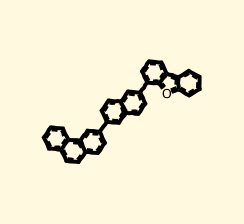 c1ccc2c(c1)ccc1ccc(-c3ccc4cc(-c5cccc6c5oc5ccccc56)ccc4c3)cc12